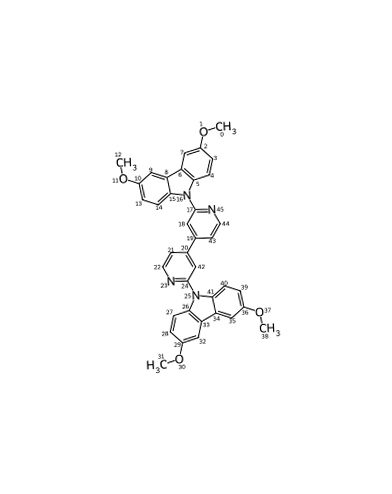 COc1ccc2c(c1)c1cc(OC)ccc1n2-c1cc(-c2ccnc(-n3c4ccc(OC)cc4c4cc(OC)ccc43)c2)ccn1